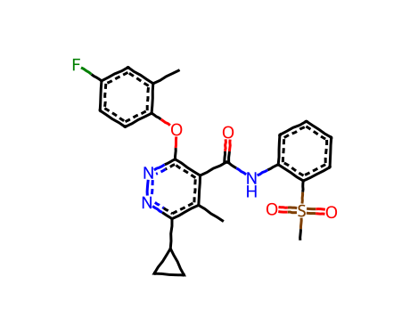 Cc1cc(F)ccc1Oc1nnc(C2CC2)c(C)c1C(=O)Nc1ccccc1S(C)(=O)=O